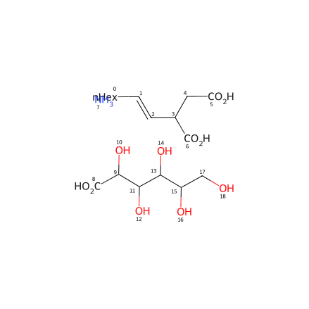 CCCCCCC=CC(CC(=O)O)C(=O)O.N.O=C(O)C(O)C(O)C(O)C(O)CO